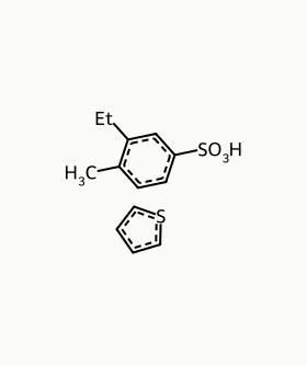 CCc1cc(S(=O)(=O)O)ccc1C.c1ccsc1